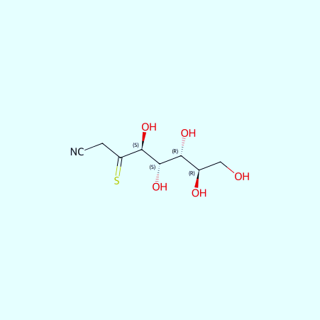 N#CCC(=S)[C@@H](O)[C@@H](O)[C@H](O)[C@H](O)CO